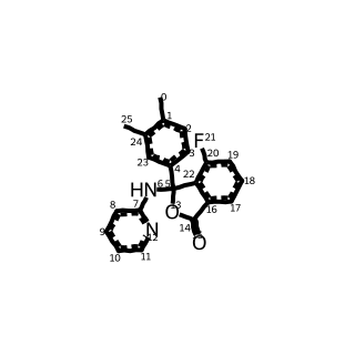 Cc1ccc(C2(Nc3ccccn3)OC(=O)c3cccc(F)c32)cc1C